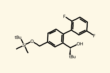 CC(C)(C)[C@H](O)c1cc(CO[Si](C)(C)C(C)(C)C)ccc1-c1cc(F)ccc1F